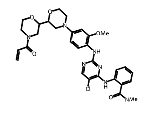 C=CC(=O)N1CCOC(C2CN(c3ccc(Nc4ncc(Cl)c(Nc5ccccc5C(=O)NC)n4)c(OC)c3)CCO2)C1